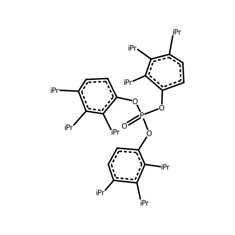 CC(C)c1ccc(OP(=O)(Oc2ccc(C(C)C)c(C(C)C)c2C(C)C)Oc2ccc(C(C)C)c(C(C)C)c2C(C)C)c(C(C)C)c1C(C)C